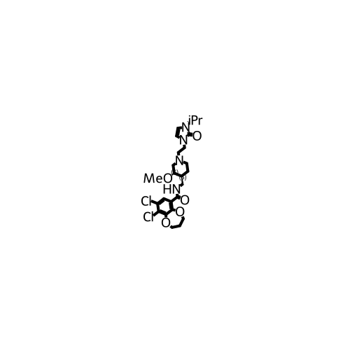 CO[C@@H]1CN(CCn2ccn(C(C)C)c2=O)CC[C@H]1CNC(=O)c1cc(Cl)c(Cl)c2c1OCCCO2